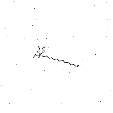 C=CCCCCCCCCCCCC[Si](OCC)(OCC)OCC